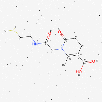 CSCCNC(=O)CN1C(=O)CCC(C(=O)O)=C1C